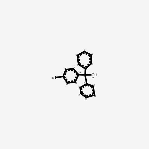 OC(c1ccccc1)(c1ccccc1)c1ccc(I)cc1